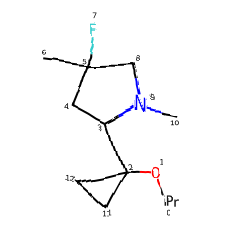 CC(C)OC1(C2CC(C)(F)CN2C)CC1